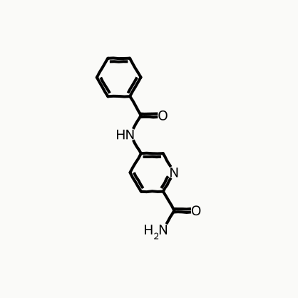 NC(=O)c1ccc(NC(=O)c2ccccc2)cn1